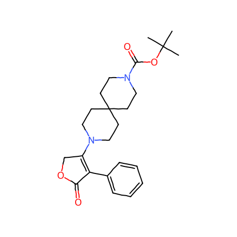 CC(C)(C)OC(=O)N1CCC2(CC1)CCN(C1=C(c3ccccc3)C(=O)OC1)CC2